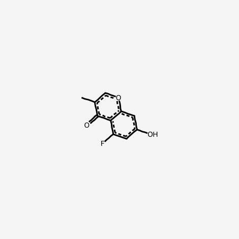 Cc1coc2cc(O)cc(F)c2c1=O